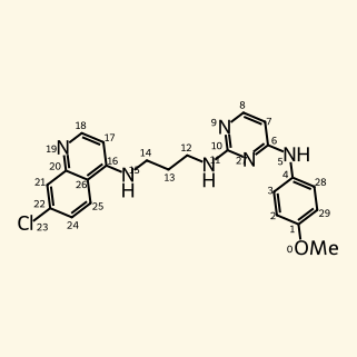 COc1ccc(Nc2ccnc(NCCCNc3ccnc4cc(Cl)ccc34)n2)cc1